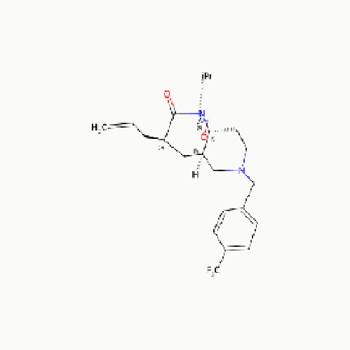 C=CC[C@@H]1C[C@@H]2CN(Cc3ccc(C(F)(F)F)cc3)CC[C@@]23OC[C@H](C(C)C)N3C1=O